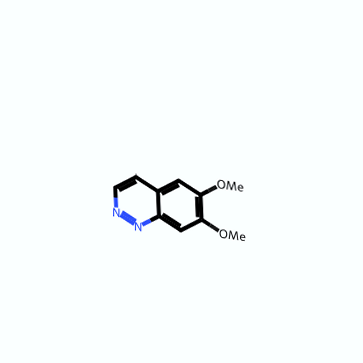 COc1cc2[c]cnnc2cc1OC